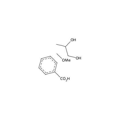 CC(O)CO.COC.O=C(O)c1ccccc1